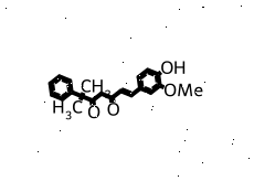 COc1cc(/C=C/C(=O)CC(=O)C(C)(C)c2ccccc2)ccc1O